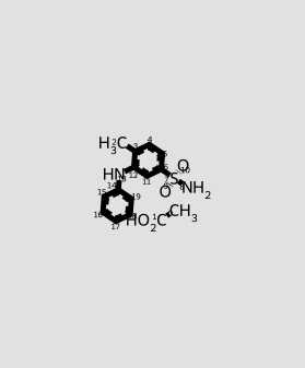 CC(=O)O.Cc1ccc(S(N)(=O)=O)cc1Nc1ccccc1